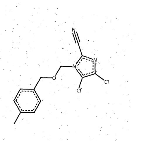 Cc1ccc(COCn2c(C#N)nc(Cl)c2Cl)cc1